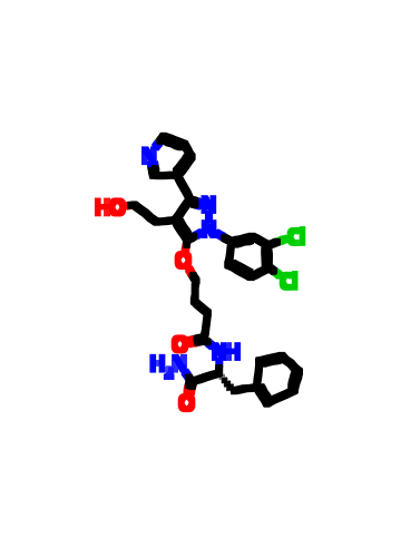 NC(=O)[C@@H](Cc1ccccc1)NC(=O)CCCOc1c(CCO)c(-c2cccnc2)nn1-c1ccc(Cl)c(Cl)c1